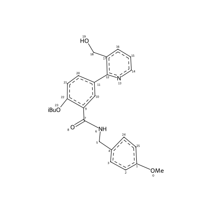 COc1ccc(CNC(=O)c2cc(-c3ncccc3CO)ccc2OCC(C)C)cc1